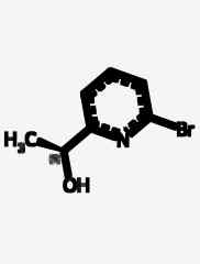 C[C@H](O)c1cccc(Br)n1